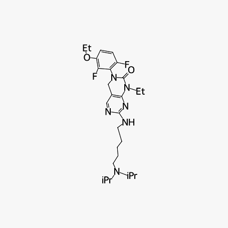 CCOc1ccc(F)c(N2Cc3cnc(NCCCCCN(C(C)C)C(C)C)nc3N(CC)C2=O)c1F